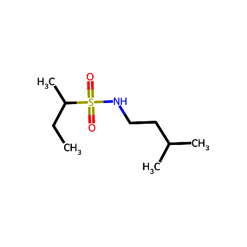 CCC(C)S(=O)(=O)NCCC(C)C